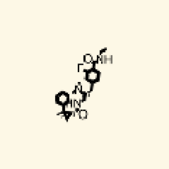 CCNC(=O)c1ccc(C[C@@H](CNC(=O)[C@@H]2C[C@]2(C)c2ccccc2)N(C)C)cc1F